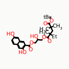 CCC(C)(CC(C)(C)C(=O)OC(C)(C)C)C(=O)OCC(O)COC(=O)c1cc2cc(O)ccc2cc1O